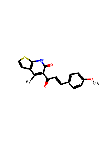 COc1ccc(/C=C/C(=O)c2c(C)c3ccsc3[nH]c2=O)cc1